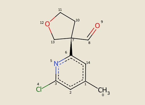 Cc1cc(Cl)nc([C@]2(C=O)CCOC2)c1